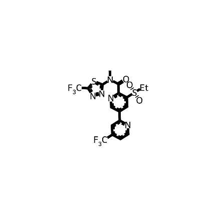 CCS(=O)(=O)c1cc(-c2cc(C(F)(F)F)ccn2)cnc1C(=O)N(C)c1nnc(C(F)(F)F)s1